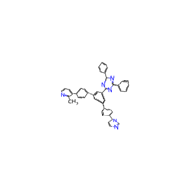 Cc1ncccc1-c1ccc(-c2cc(-c3ccc(-c4ccncn4)cc3)cc(-c3nc(-c4ccccc4)nc(-c4ccccc4)n3)c2)cc1